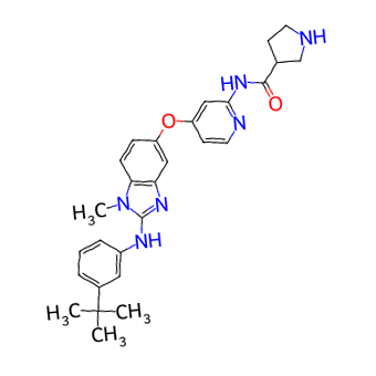 Cn1c(Nc2cccc(C(C)(C)C)c2)nc2cc(Oc3ccnc(NC(=O)C4CCNC4)c3)ccc21